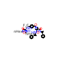 CCCCCCNC(=O)[C@H](CN[C@@H](c1ccc(C(=O)N2C[C@@H](C(=O)N[C@H]3C[C@@H]3c3ccccc3)[C@H](C(=O)N[C@H]3C[C@@H]3c3ccccc3)C2)cc1)C(F)(F)F)NC(=O)CCCCCC